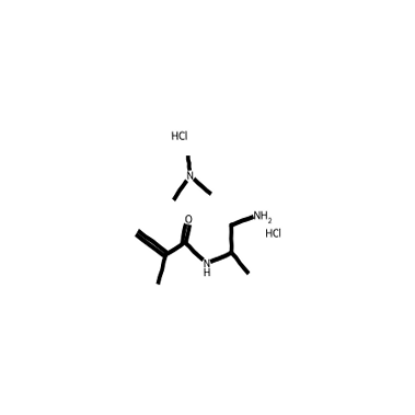 C=C(C)C(=O)NC(C)CN.CN(C)C.Cl.Cl